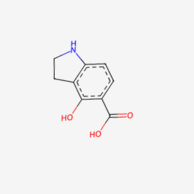 O=C(O)c1ccc2c(c1O)CCN2